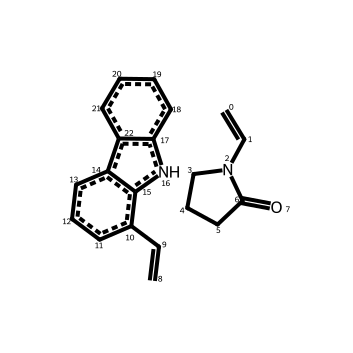 C=CN1CCCC1=O.C=Cc1cccc2c1[nH]c1ccccc12